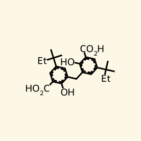 CCC(C)(C)c1cc(Cc2cc(C(C)(C)CC)cc(C(=O)O)c2O)c(O)c(C(=O)O)c1